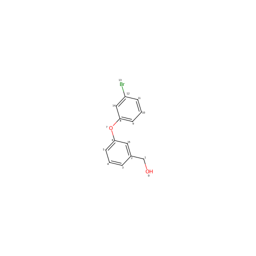 OCc1cccc(Oc2cccc(Br)c2)c1